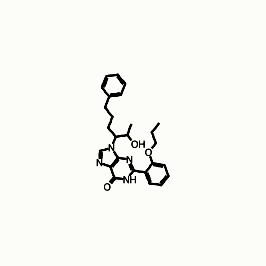 CCCOc1ccccc1-c1nc2c(ncn2C(CCCc2ccccc2)C(C)O)c(=O)[nH]1